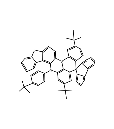 CC(C)(C)c1ccc(N2c3cc(C(C)(C)C)cc4c3B(c3cc(C(C)(C)C)ccc3C43c4ccccc4-c4ccccc43)c3ccc4sc5ccccc5c4c32)cc1